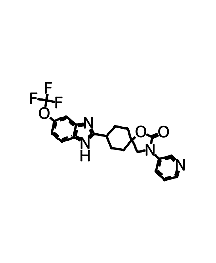 O=C1OC2(CCC(c3nc4cc(OC(F)(F)F)ccc4[nH]3)CC2)CN1c1cccnc1